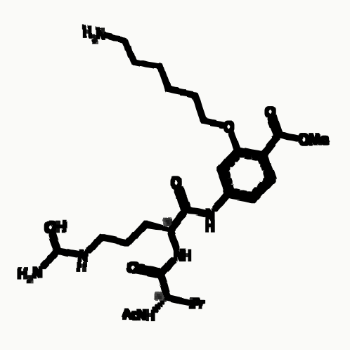 COC(=O)c1ccc(NC(=O)[C@H](CCCNC(N)O)NC(=O)[C@@H](NC(C)=O)C(C)C)cc1OCCCCCCN